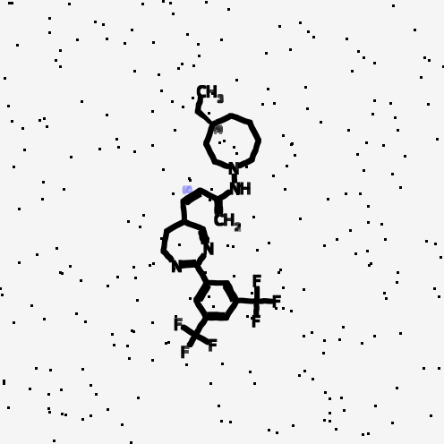 C=C(/C=C\C1C=NC(c2cc(C(F)(F)F)cc(C(F)(F)F)c2)=NCC1)NN1CCCC[C@H](CC)CC1